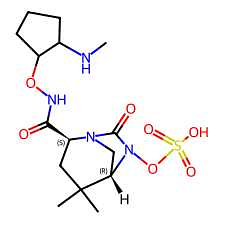 CNC1CCCC1ONC(=O)[C@@H]1CC(C)(C)[C@@H]2CN1C(=O)N2OS(=O)(=O)O